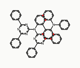 c1ccc(-c2nc(-c3ccccc3)nc(N(c3nc(-c4ccccc4)nc(-c4ccccc4)n3)c3ccccc3-c3ccccc3N(c3ccccc3)c3ccccc3)n2)cc1